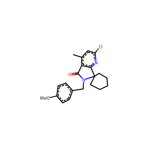 COc1ccc(CN2C(=O)c3c(C)cc(Cl)nc3C23CCCCC3)cc1